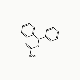 CCCCCCCCCCC(=O)OC(c1ccccc1)c1ccccc1